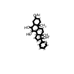 CC(=O)OC1CCC2(C)C(C1)C(O)C(O)C1C2CCC2(C)C1CCC2(O)c1ccccn1